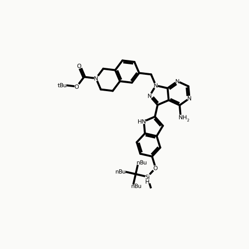 CCCCC(CCCC)(CCCC)[SiH](C)Oc1ccc2[nH]c(-c3nn(Cc4ccc5c(c4)CCN(C(=O)OC(C)(C)C)C5)c4ncnc(N)c34)cc2c1